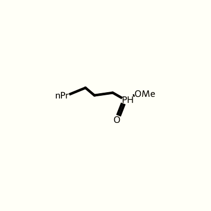 CCCCCC[PH](=O)OC